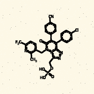 Cc1nc(C(F)(F)F)ccc1Cn1c(=O)c(-c2ccc(C#N)cc2)c(-c2ccc(Cl)cc2)c2nnc(COP(=O)(O)O)n21